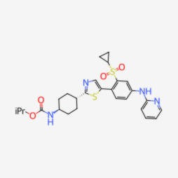 CC(C)OC(=O)N[C@H]1CC[C@H](c2ncc(-c3ccc(Nc4ccccn4)cc3S(=O)(=O)C3CC3)s2)CC1